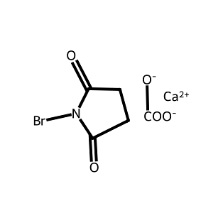 O=C([O-])[O-].O=C1CCC(=O)N1Br.[Ca+2]